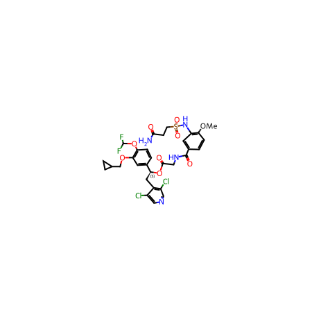 COc1ccc(C(=O)NCC(=O)O[C@@H](Cc2c(Cl)cncc2Cl)c2ccc(OC(F)F)c(OCC3CC3)c2)cc1NS(=O)(=O)CCC(N)=O